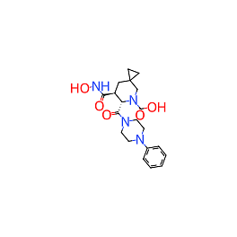 O=C(NO)[C@H]1CC2(CC2)CN(C(=O)O)[C@@H]1C(=O)N1CCN(c2ccccc2)CC1